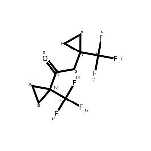 O=C(CC1(C(F)(F)F)CC1)C1(C(F)(F)F)CC1